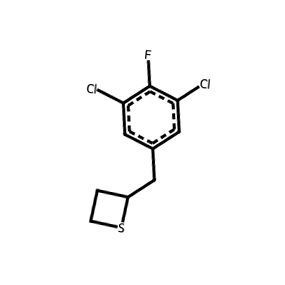 Fc1c(Cl)cc(CC2CCS2)cc1Cl